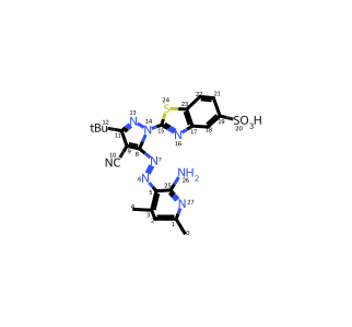 Cc1cc(C)c(/N=N/c2c(C#N)c(C(C)(C)C)nn2-c2nc3cc(S(=O)(=O)O)ccc3s2)c(N)n1